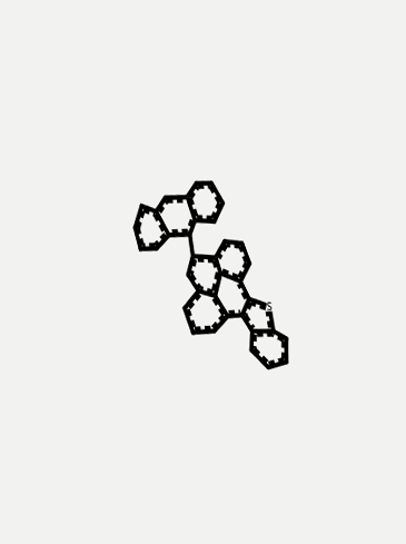 c1ccc2c(-c3cc4cccc5c6c7ccccc7sc6c6cccc3c6c45)c3ccccc3cc2c1